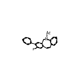 CC(=O)N1Cc2cc(-c3ccccc3)c(F)cc2C=Cc2ccccc21